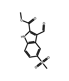 COC(=O)c1[nH]c2ccc(S(C)(=O)=O)cc2c1C=O